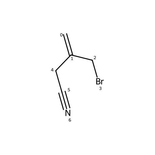 C=C(CBr)CC#N